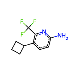 Nc1ccc(C2CCC2)c(C(F)(F)F)n1